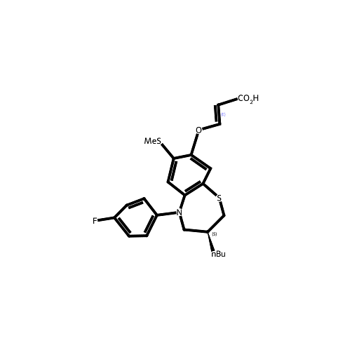 CCCC[C@@H]1CSc2cc(O/C=C/C(=O)O)c(SC)cc2N(c2ccc(F)cc2)C1